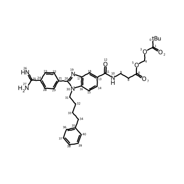 CC(C)(C)C(=O)OCOC(=O)CCNC(=O)c1ccc2c(c1)nc(-c1ccc(C(=N)N)cc1)n2CCCCc1ccccc1